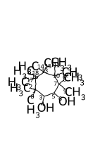 CC1(C)C(O)C(O)C(C)(C)C(C)(C)C(C)(C)C1(C)C